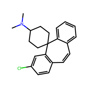 CN(C)C1CCC2(CC1)c1ccccc1C=Cc1ccc(Cl)cc12